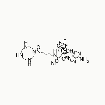 Nc1ncnc2c1ncn2[C@@H]1O[C@H](C(=O)NCCCCCC(=O)N2CCNCCNCCNCC2)[C@@H](OS(=O)(=O)C(F)(F)F)[C@H]1O.[Ni]